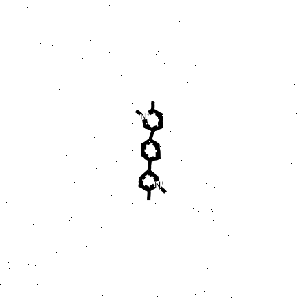 Cc1ccc(-c2ccc(-c3ccc(C)[n+](C)c3)cc2)c[n+]1C